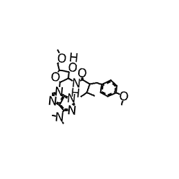 COCC1OC(n2cnc3c(N(C)C)ncnc32)C(NC(=O)C(Cc2ccc(OC)cc2)C(C)C)C1O